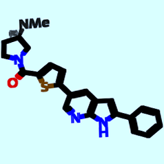 CN[C@@H]1CCN(C(=O)c2ccc(-c3cnc4[nH]c(-c5ccccc5)cc4c3)s2)C1